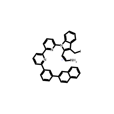 N/C=C\c1c(CI)c2ccccc2n1-c1cccc(-c2cccc(-c3cccc(-c4ccc5ccccc5c4)c3)n2)n1